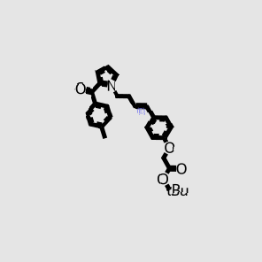 Cc1ccc(C(=O)c2cccn2CC/C=C/c2ccc(OCC(=O)OC(C)(C)C)cc2)cc1